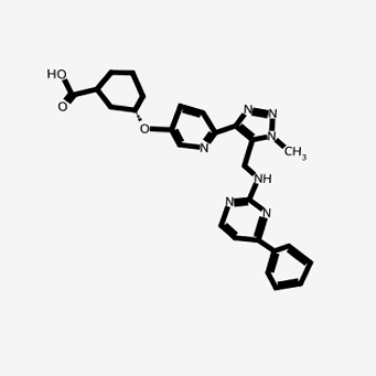 Cn1nnc(-c2ccc(O[C@H]3CCCC(C(=O)O)C3)cn2)c1CNc1nccc(-c2ccccc2)n1